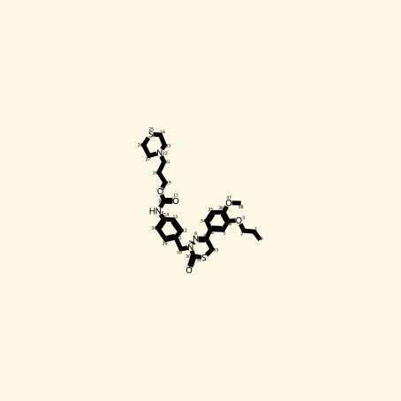 CCCOc1cc(C2=NN(Cc3ccc(NC(=O)OCCCN4CCSCC4)cc3)C(=O)SC2)ccc1OC